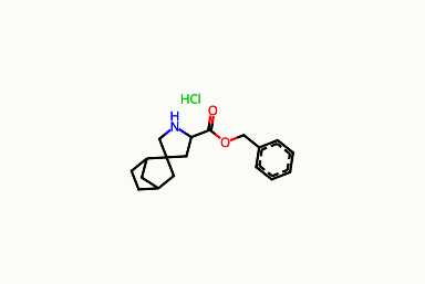 Cl.O=C(OCc1ccccc1)C1CC2(CN1)CC1CCC2C1